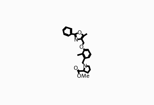 COC(=O)C1CCCN1Cc1cccc(OCc2nc(-c3ccccc3)oc2C)c1C